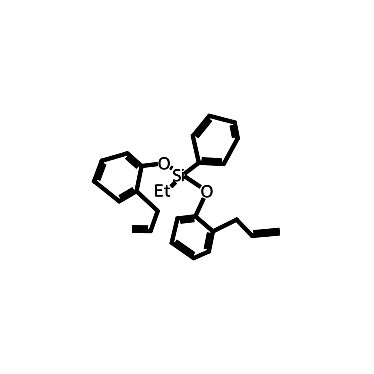 C=CCc1ccccc1O[Si](CC)(Oc1ccccc1CC=C)c1ccccc1